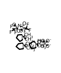 C[N+]1(C)CCCCC1.C[N+]1(C)CCCCC1.C[N+]1(C)CCCCC1.O=P([O-])([O-])O.O=S(=O)([N-]S(=O)(=O)C(F)(F)F)C(F)(F)F